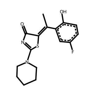 C/C(=C1/SC(N2CCCCC2)=NC1=O)c1cc(F)ccc1O